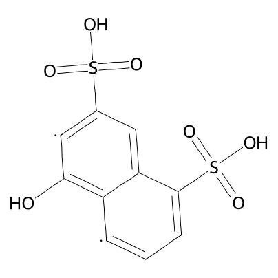 O=S(=O)(O)c1[c]c(O)c2[c]ccc(S(=O)(=O)O)c2c1